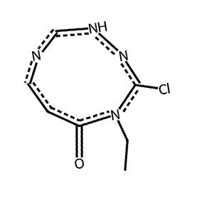 CCn1c(Cl)n[nH]cnccc1=O